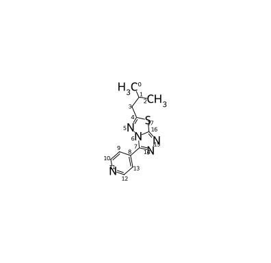 CC(C)Cc1nn2c(-c3ccncc3)nnc2s1